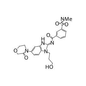 CNS(=O)(=O)c1cccc(C(=O)/N=c2\[nH]c3cc(N4CCOCC4=O)ccc3n2CCCO)c1